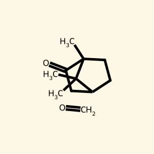 C=O.CC12CCC(CC1=O)C2(C)C